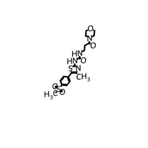 Cc1nc(NC(=O)NCCC(=O)N2CCOCC2)sc1-c1ccc(S(C)(=O)=O)cc1